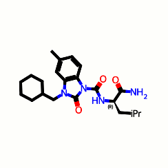 Cc1ccc2c(c1)n(CC1CCCCC1)c(=O)n2C(=O)N[C@H](CC(C)C)C(N)=O